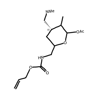 C=CCOC(=O)NCC1C[C@H](CNC)C(C)C(OC(C)=O)O1